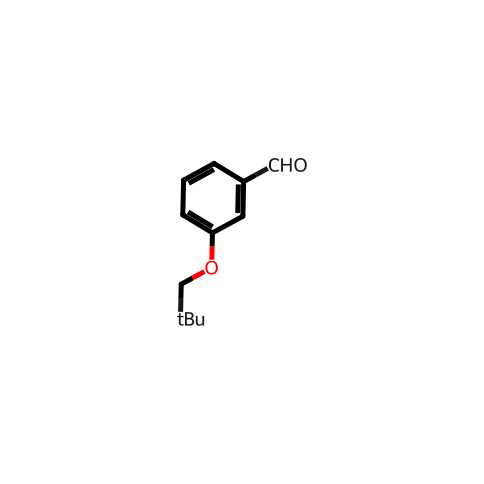 CC(C)(C)COc1cccc(C=O)c1